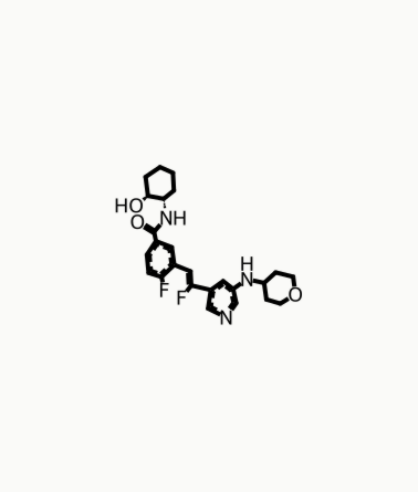 O=C(N[C@H]1CCCC[C@@H]1O)c1ccc(F)c(/C=C(\F)c2cncc(NC3CCOCC3)c2)c1